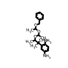 CC(OCc1ccccc1)OC(C)OC(C)C(C)(C)c1cc(N)ccc1N